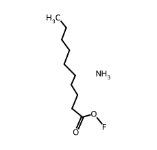 CCCCCCCCCC(=O)OF.N